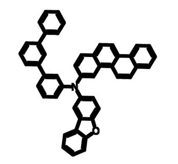 c1ccc(-c2cccc(-c3cccc(N(c4ccc5ccc6c7ccccc7ccc6c5c4)c4ccc5oc6ccccc6c5c4)c3)c2)cc1